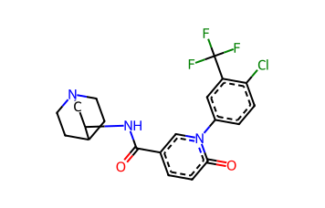 O=C(NC1CN2CCC1CC2)c1ccc(=O)n(-c2ccc(Cl)c(C(F)(F)F)c2)c1